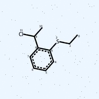 CCSc1ccccc1C(C)Cl